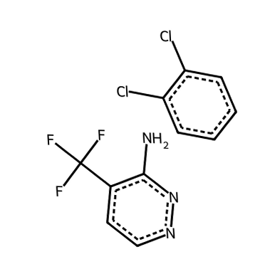 Clc1ccccc1Cl.Nc1nnccc1C(F)(F)F